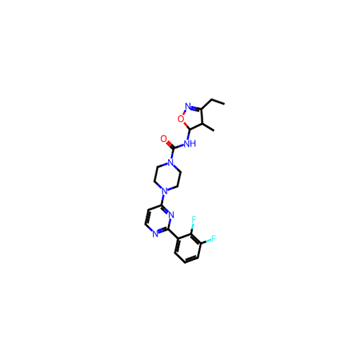 CCC1=NOC(NC(=O)N2CCN(c3ccnc(-c4cccc(F)c4F)n3)CC2)C1C